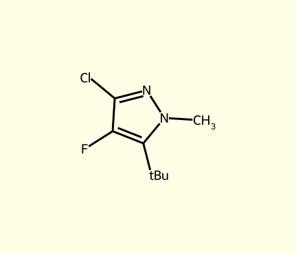 Cn1nc(Cl)c(F)c1C(C)(C)C